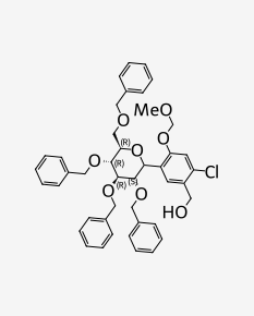 COCOc1cc(Cl)c(CO)cc1C1O[C@H](COCc2ccccc2)[C@@H](OCc2ccccc2)[C@H](OCc2ccccc2)[C@H]1OCc1ccccc1